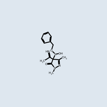 CC(=N)C1(N(O)OCc2ccccc2)C(=O)N(C)N=C1C